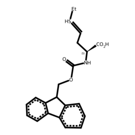 CC[SH]=CC[C@H](NC(=O)OCC1c2ccccc2-c2ccccc21)C(=O)O